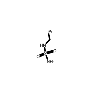 CC(C)CNS([NH])(=O)=O